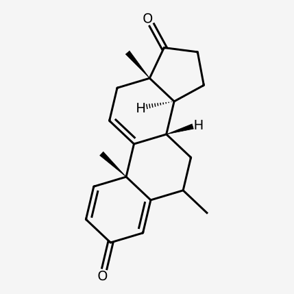 CC1C[C@@H]2C(=CC[C@]3(C)C(=O)CC[C@@H]23)[C@@]2(C)C=CC(=O)C=C12